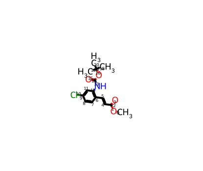 COC(=O)C=Cc1ccc(Cl)cc1NC(=O)OC(C)(C)C